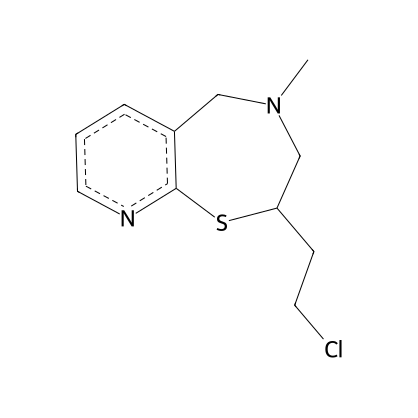 CN1Cc2cccnc2SC(CCCl)C1